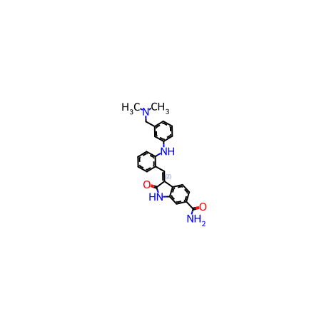 CN(C)Cc1cccc(Nc2ccccc2/C=C2\C(=O)Nc3cc(C(N)=O)ccc32)c1